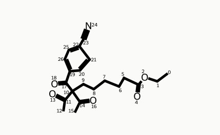 CCOC(=O)CCCCCC(C(C)=O)(C(C)=O)C(=O)c1ccc(C#N)cc1